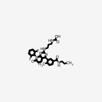 CCCNC(=O)c1ccc(C)c(-c2nc(NCCCNC(=O)O)nc3c2ccc(=O)n3-c2c(F)cccc2F)c1